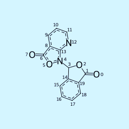 O=C1OC(n2oc(=O)c3cccnc32)c2ccccc21